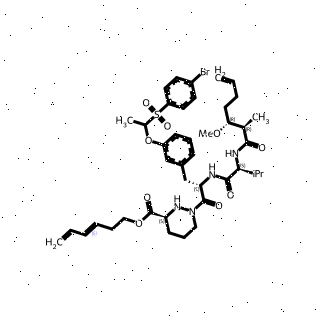 C=C/C=C/CCOC(=O)[C@@H]1CCCN(C(=O)[C@H](Cc2cccc(OC(C)S(=O)(=O)c3ccc(Br)cc3)c2)NC(=O)[C@@H](NC(=O)[C@H](C)[C@@H](CCC=C)OC)C(C)C)N1